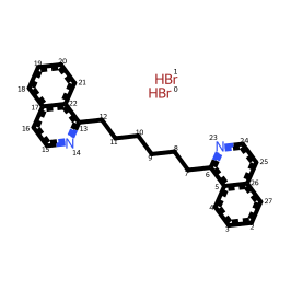 Br.Br.c1ccc2c(CCCCCCc3nccc4ccccc34)nccc2c1